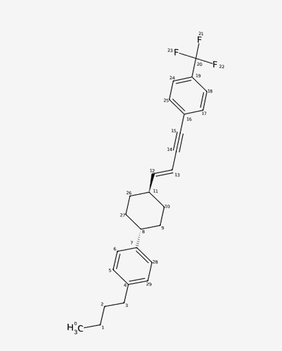 CCCCc1ccc([C@H]2CC[C@H](C=CC#Cc3ccc(C(F)(F)F)cc3)CC2)cc1